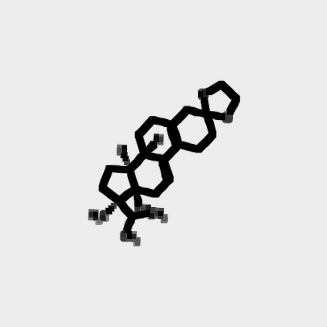 CC(C)[C@@]1(C)CC[C@H]2[C@@H]3CCC4=C(CCC5(C4)OCCO5)C3=CC[C@@]21C